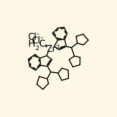 [CH2]=[Zr+2]([CH]1C=C(C(C2CCCC2)C2CCCC2)c2ccccc21)[CH]1C=C(C(C2CCCC2)C2CCCC2)c2ccccc21.[Cl-].[Cl-]